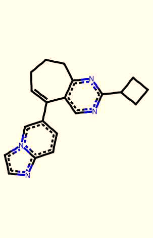 C1=C(c2ccc3nccn3c2)c2cnc(C3CCC3)nc2CCC1